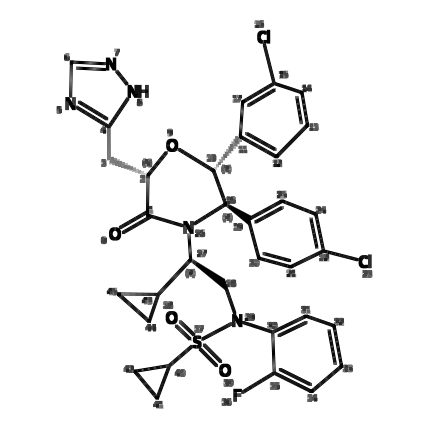 O=C1[C@H](Cc2ncn[nH]2)O[C@H](c2cccc(Cl)c2)[C@@H](c2ccc(Cl)cc2)N1[C@@H](CN(c1ccccc1F)S(=O)(=O)C1CC1)C1CC1